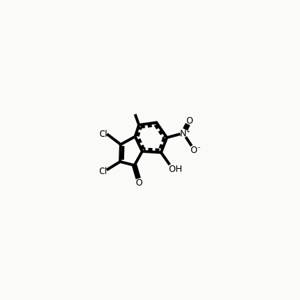 Cc1cc([N+](=O)[O-])c(O)c2c1C(Cl)=C(Cl)C2=O